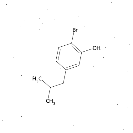 CC(C)Cc1ccc(Br)c(O)c1